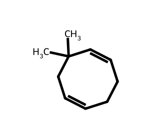 CC1(C)C=CCCC=CC1